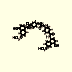 O=C(Nc1ccc(C(=O)Nc2ccc(O)c3cc(S(=O)(=O)O)ccc23)cc1)Nc1ccc(C(=O)Nc2ccc(O)c3cc(S(=O)(=O)O)ccc23)cc1